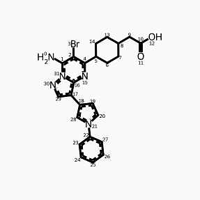 Nc1c(Br)c(C2CCC(CC(=O)O)CC2)nc2c(-c3ccn(-c4ccccc4)c3)cnn12